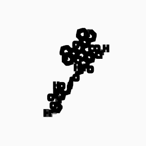 CC[C@@H]1CC[C@H](n2cc(CC#CCOCCNC(=O)c3cc(Cl)c(C(=O)O)c(C4=c5cc6c7c(c5Oc5c4cc4c8c5CCCN8CCC4)CCC[N+]=7CCC6)c3Cl)c(=O)[nH]c2=O)O1